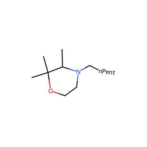 CCCCCCN1CCOC(C)(C)C1C